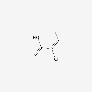 C=C(O)/C(Cl)=C\C